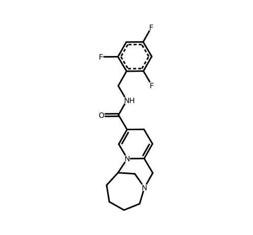 O=C(NCc1c(F)cc(F)cc1F)C1=CN2C(=CC1)CN1CCCCC2C1